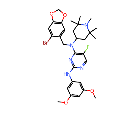 COc1cc(Nc2ncc(F)c(N(Cc3cc4c(cc3Br)OCO4)C3CC(C)(C)N(C)C(C)(C)C3)n2)cc(OC)c1